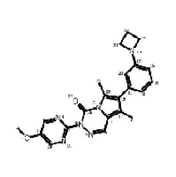 COc1cnc(-n2ncc3c(C)c(-c4cccc(N5CCC5)c4)c(C)n3c2=O)nc1